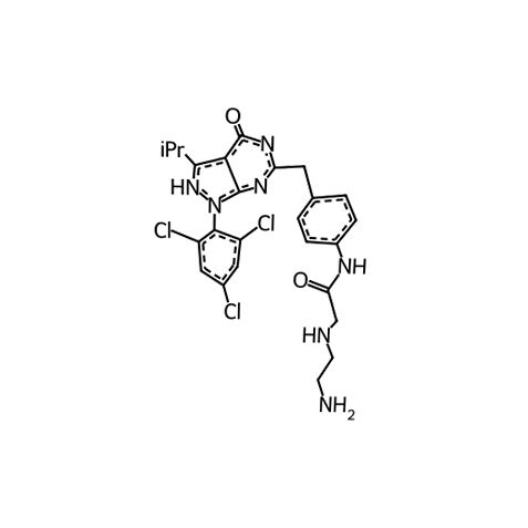 CC(C)c1[nH]n(-c2c(Cl)cc(Cl)cc2Cl)c2nc(Cc3ccc(NC(=O)CNCCN)cc3)nc(=O)c1-2